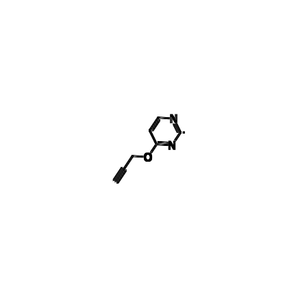 C#CCOc1ccn[c]n1